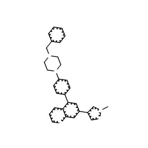 Cn1cc(-c2cc(-c3ccc(N4CCN(Cc5ccccc5)CC4)cc3)c3cccnc3c2)cn1